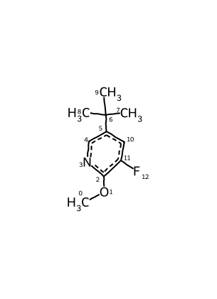 COc1ncc(C(C)(C)C)cc1F